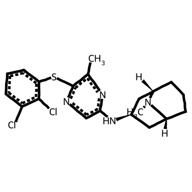 Cc1nc(N[C@@H]2C[C@H]3CCC[C@@H](C2)N3C)cnc1Sc1cccc(Cl)c1Cl